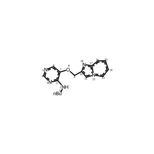 CCCCNc1ncncc1OCc1cn2ccccc2n1